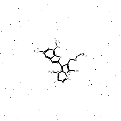 CCOCc1c(-c2cc3cc(C)cc(OC)c3s2)c2c(N)ncnn2c1Cl